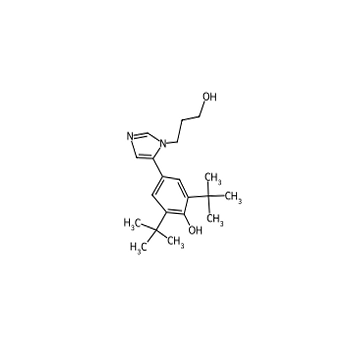 CC(C)(C)c1cc(-c2cncn2CCCO)cc(C(C)(C)C)c1O